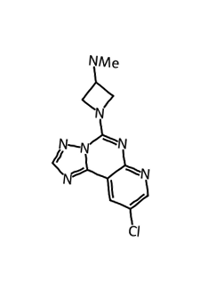 CNC1CN(c2nc3ncc(Cl)cc3c3ncnn23)C1